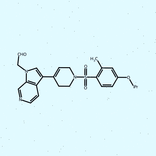 Cc1cc(OC(C)C)ccc1S(=O)(=O)N1CC=C(c2cn(CC=O)c3cnccc23)CC1